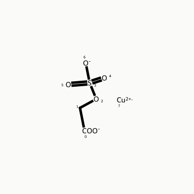 O=C([O-])COS(=O)(=O)[O-].[Cu+2]